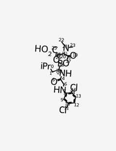 CC(C)C[C@H](NC(=O)CNc1cc(Cl)ccc1Cl)B1OC(=O)[C@@H](N(C)C)[C@H](C(=O)O)O1